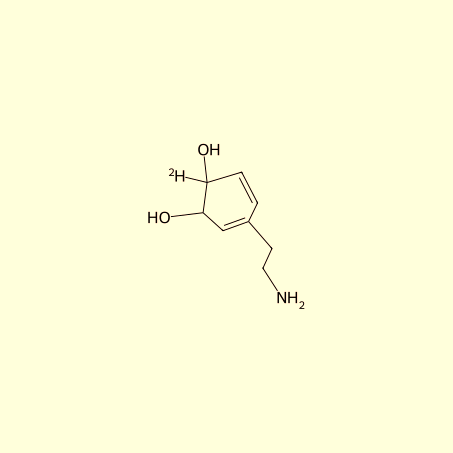 [2H]C1(O)C=CC(CCN)=CC1O